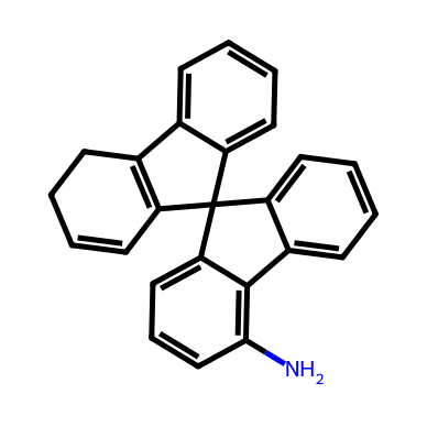 Nc1cccc2c1-c1ccccc1C21C2=C(CCC=C2)c2ccccc21